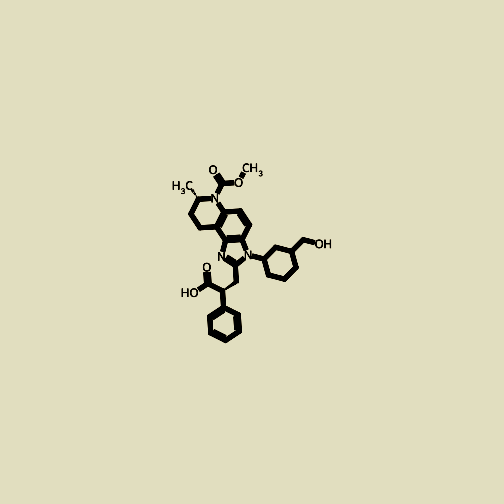 COC(=O)N1c2ccc3c(nc(C[C@H](C(=O)O)c4ccccc4)n3C3CCCC(CO)C3)c2CC[C@@H]1C